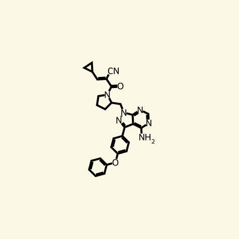 N#C/C(=C\C1CC1)C(=O)N1CCCC1Cn1nc(-c2ccc(Oc3ccccc3)cc2)c2c(N)ncnc21